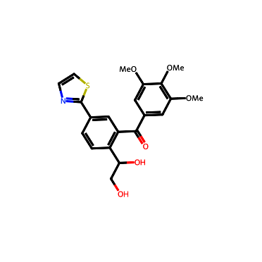 COc1cc(C(=O)c2cc(-c3nccs3)ccc2C(O)CO)cc(OC)c1OC